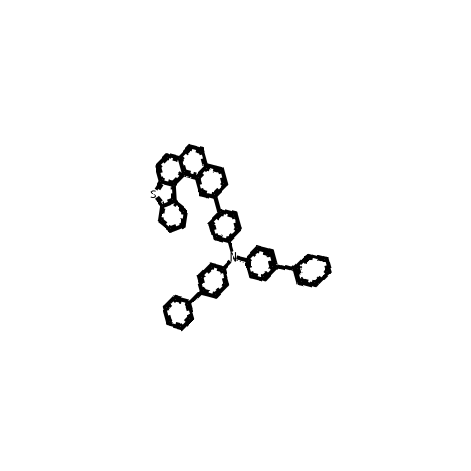 c1ccc(-c2ccc(N(c3ccc(-c4ccccc4)cc3)c3ccc(-c4ccc5ccc6ccc7sc8ccccc8c7c6c5c4)cc3)cc2)cc1